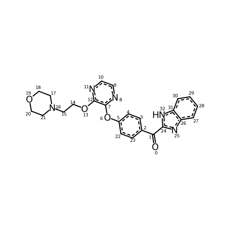 O=C(c1ccc(Oc2nccnc2OCCN2CCOCC2)cc1)c1nc2ccccc2[nH]1